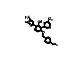 Cn1nc(-c2ccc(OCc3ccc([N+](=O)[O-])cc3)c(-c3cncc(C(F)(F)F)c3)c2O)cc1C(F)(F)F